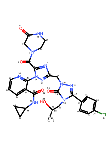 O=C1CN(C(=O)c2nc(Cn3nc(-c4ccc(Cl)cc4)n(C[C@H](O)C(F)(F)F)c3=O)nn2-c2ncccc2C(=O)NC2CC2)CCN1